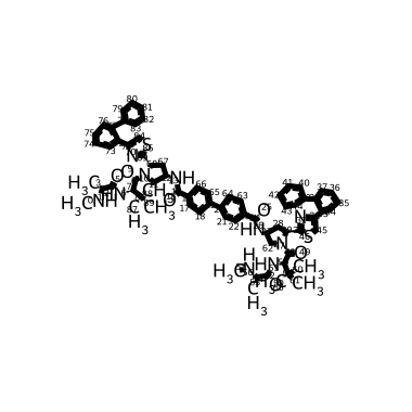 CN[C@@H](C)C(=O)N[C@H](C(=O)N1C[C@@H](NC(=O)c2ccc(-c3ccc(C(=O)N[C@H]4C[C@@H](c5nc(-c6ccccc6-c6ccccc6)cs5)N(C(=O)[C@@H](NC(=O)[C@H](C)NC)C(C)(C)C)C4)cc3)cc2)C[C@H]1c1nc(-c2ccccc2-c2ccccc2)cs1)C(C)(C)C